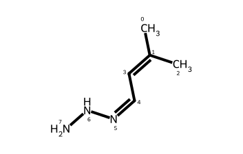 CC(C)=C/C=N\NN